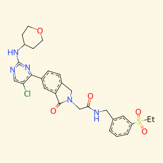 CCS(=O)(=O)c1cccc(CNC(=O)CN2Cc3ccc(-c4nc(NC5CCOCC5)ncc4Cl)cc3C2=O)c1